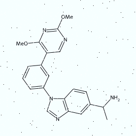 COc1ncc(-c2cccc(-n3cnc4cc(C(C)N)ccc43)c2)c(OC)n1